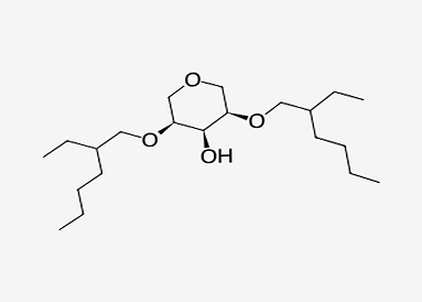 CCCCC(CC)CO[C@H]1COC[C@@H](OCC(CC)CCCC)[C@H]1O